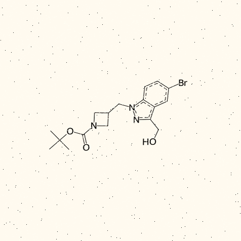 CC(C)(C)OC(=O)N1CC(Cn2nc(CO)c3cc(Br)ccc32)C1